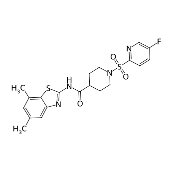 Cc1cc(C)c2sc(NC(=O)C3CCN(S(=O)(=O)c4ccc(F)cn4)CC3)nc2c1